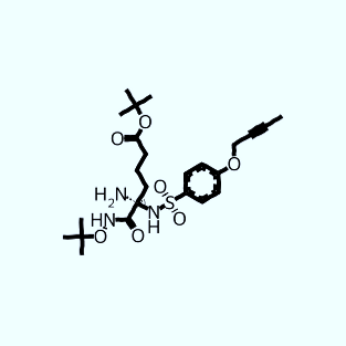 CC#CCOc1ccc(S(=O)(=O)N[C@](N)(CCCC(=O)OC(C)(C)C)C(=O)NOC(C)(C)C)cc1